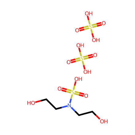 O=S(=O)(O)N(CCO)CCO.O=S(=O)(O)O.O=S(=O)(O)O